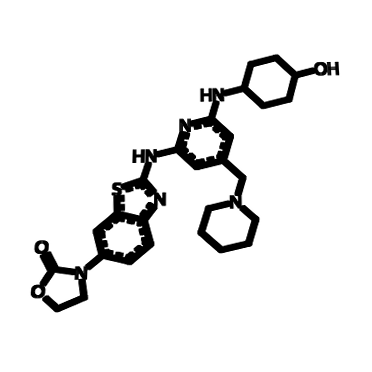 O=C1OCCN1c1ccc2nc(Nc3cc(CN4CCCCC4)cc(NC4CCC(O)CC4)n3)sc2c1